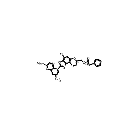 COc1cnc2c(-c3nc4c(Cl)cc5c(c4s3)OC[C@H](COC(=O)Nc3ccncc3)O5)cc(C)cc2n1